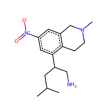 CC(C)CC(CN)c1cc([N+](=O)[O-])cc2c1CCN(C)C2